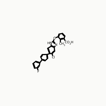 Cc1c(Oc2nc3cc(Cl)c(-c4ccc(-c5cccc(F)c5)cc4)cc3[nH]2)cccc1C(=O)O